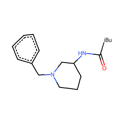 CCC(C)C(=O)NC1CCCN(Cc2ccccc2)C1